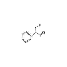 O=[C]C(CF)c1ccccc1